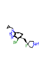 FC1(C#Cc2ccc3c(nnn3CC3CC3)c2Br)CCNCC1